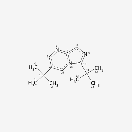 CC(C)(C)c1cnc2cnc(C(C)(C)C)n2c1